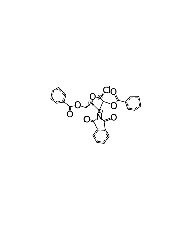 O=C(OC[C@H]1O[C@@H](Cl)C(OC(=O)c2ccccc2)[C@H]1N1C(=O)c2ccccc2C1=O)c1ccccc1